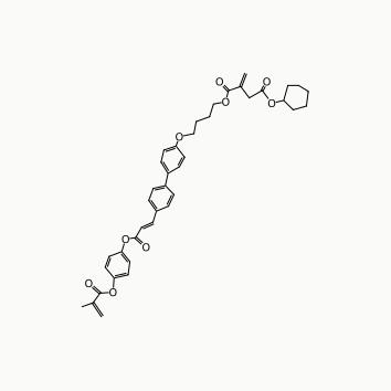 C=C(C)C(=O)Oc1ccc(OC(=O)/C=C/c2ccc(-c3ccc(OCCCCOC(=O)C(=C)CC(=O)OC4CCCCC4)cc3)cc2)cc1